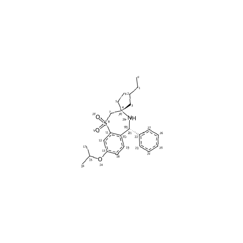 CCCC[C@]1(CC)CS(=O)(=O)c2cc(OC(C)C)ccc2[C@@H](c2ccccc2)N1